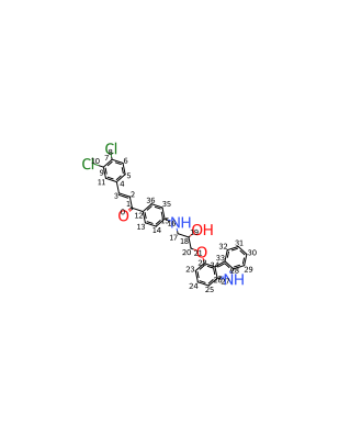 O=C(C=Cc1ccc(Cl)c(Cl)c1)c1ccc(NCC(O)COc2cccc3[nH]c4ccccc4c23)cc1